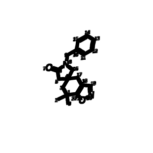 CC1(C)CC2(CC(=O)N(Cc3ccccc3)C2)Cc2cnoc21